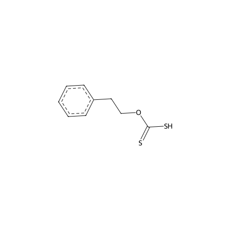 S=C(S)OCCc1ccccc1